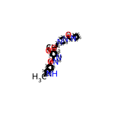 COc1cc2c(Oc3ccc4[nH]c(C)cc4c3)ncnc2cc1OCCN1CCN(C(=O)CN2CCCC2)CC1